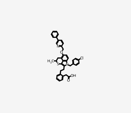 CC1Cc2c(OCc3ccc(-c4ccccc4)cn3)ccc3c2c(c(CCc2ccccc2CC(=O)O)n3Cc2ccc(Cl)cc2)S1